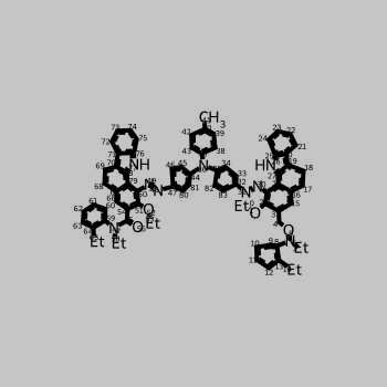 CCOc1c(CON(CC)c2ccccc2CC)cc2ccc3c4ccccc4[nH]c3c2c1N=Nc1ccc(N(c2ccc(C)cc2)c2ccc(N=Nc3c(OCC)c(C(=O)N(CC)c4ccccc4CC)cc4ccc5c6ccccc6[nH]c5c34)cc2)cc1